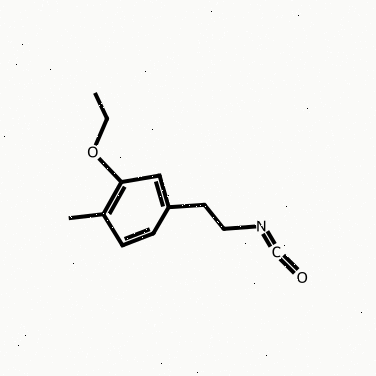 CCOc1cc(CCN=C=O)ccc1C